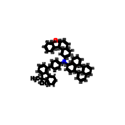 CC1(C)c2ccccc2-c2c(-c3ccc(N(c4ccc(-c5cccc6cccc(-c7ccccc7)c56)cc4)c4ccc5ccc6oc7ccccc7c6c5c4)cc3)cccc21